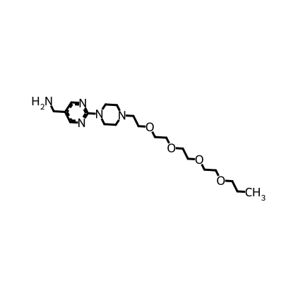 CCCOCCOCCOCCOCCN1CCN(c2ncc(CN)cn2)CC1